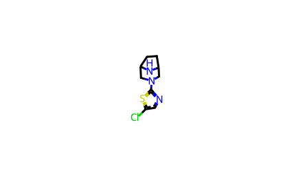 Clc1cnc(N2CC3CCC(C2)N3)s1